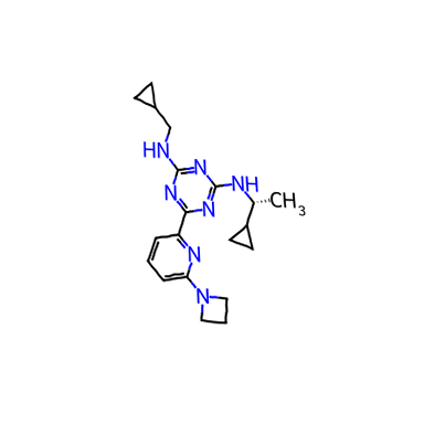 C[C@@H](Nc1nc(NCC2CC2)nc(-c2cccc(N3CCC3)n2)n1)C1CC1